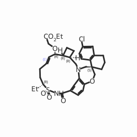 CCOC(=O)CO[C@H]1/C=C/CC[C@@H](CC)S(=O)(=O)NC(=O)c2ccc3c(c2)N(C[C@@H]2CC[C@H]21)C[C@@]1(CCCc2cc(Cl)ccc21)CO3